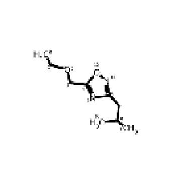 CCOCc1nc(CC(C)C)no1